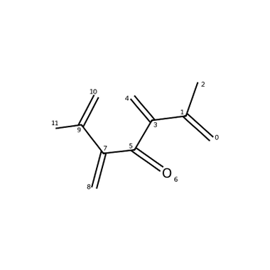 C=C(C)C(=C)C(=O)C(=C)C(=C)C